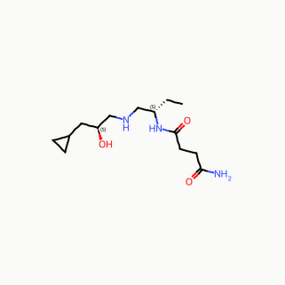 CC[C@@H](CNC[C@@H](O)CC1CC1)NC(=O)CCC(N)=O